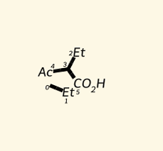 CCC.CCC(C(C)=O)C(=O)O